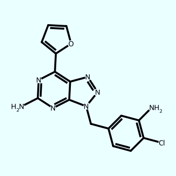 Nc1nc(-c2ccco2)c2nnn(Cc3ccc(Cl)c(N)c3)c2n1